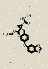 CCOC(=O)[C@@]1(Cc2ccc(Oc3ccc4c(c3)OCO4)cc2)C[C@@H]1C(=O)NO